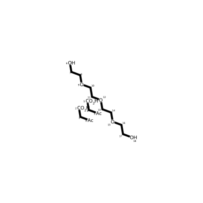 CC(=O)CC(=O)O.CC(=O)CC(=O)O.OCCOCCOCCOCCO